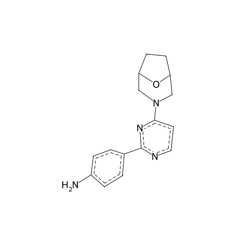 Nc1ccc(-c2nccc(N3CC4CCC(C3)O4)n2)cc1